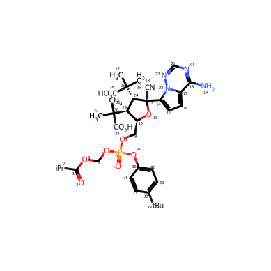 CC(C)C(=O)OCO[P@@](=O)(OC[C@@H]1O[C@@](C#N)(c2ccc3c(N)ncnn23)[C@@H](C(C)(C)C(=O)O)[C@@H]1C(C)(C)C(=O)O)Oc1ccc(C(C)(C)C)cc1